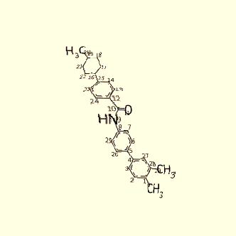 Cc1ccc(-c2ccc(NC(=O)c3ccc(C4CCC(C)CC4)cc3)cc2)cc1C